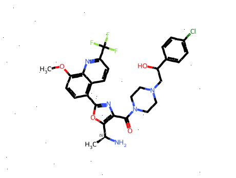 COc1ccc(-c2nc(C(=O)N3CCN(CC(O)c4ccc(Cl)cc4)CC3)c([C@H](C)N)o2)c2ccc(C(F)(F)F)nc12